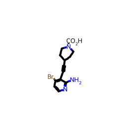 Nc1nccc(Br)c1C#CC1CCN(C(=O)O)CC1